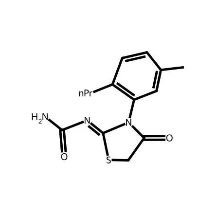 CCCc1ccc(C)cc1N1C(=O)CSC1=NC(N)=O